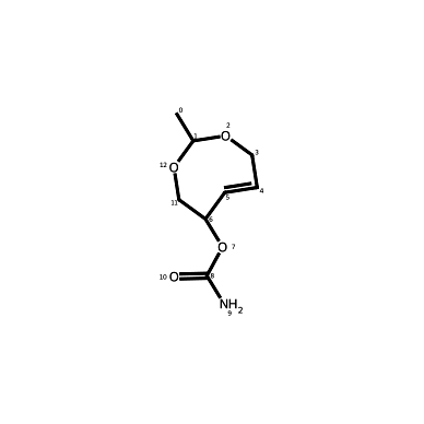 CC1OC/C=C/C(OC(N)=O)CO1